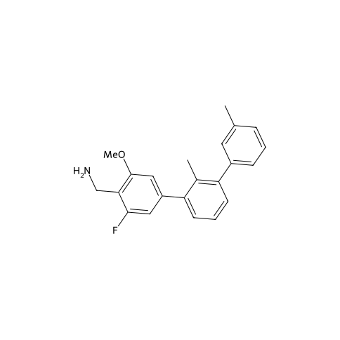 COc1cc(-c2cccc(-c3cccc(C)c3)c2C)cc(F)c1CN